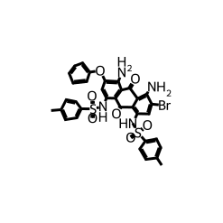 Cc1ccc(S(=O)(=O)Nc2cc(Br)c(N)c3c2C(=O)c2c(NS(=O)(=O)c4ccc(C)cc4)cc(Oc4ccccc4)c(N)c2C3=O)cc1